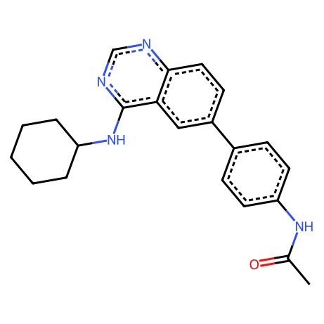 CC(=O)Nc1ccc(-c2ccc3ncnc(NC4CCCCC4)c3c2)cc1